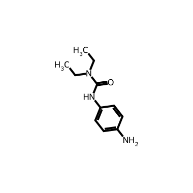 CCN(CC)C(=O)Nc1ccc(N)cc1